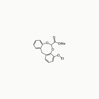 CCOc1cccc2c1OC(C(=O)OC)Oc1ccccc1C2